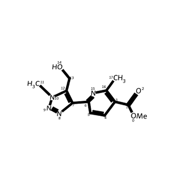 COC(=O)c1ccc(-c2nnn(C)c2CO)nc1C